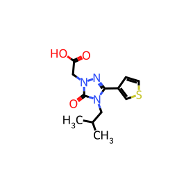 CC(C)Cn1c(-c2ccsc2)nn(CC(=O)O)c1=O